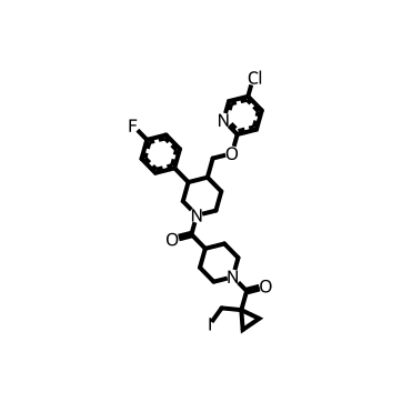 O=C(C1CCN(C(=O)C2(CI)CC2)CC1)N1CCC(COc2ccc(Cl)cn2)C(c2ccc(F)cc2)C1